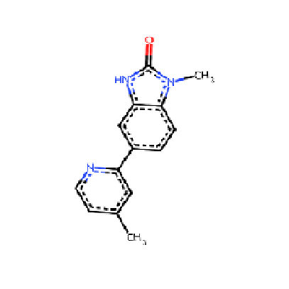 Cc1ccnc(-c2ccc3c(c2)[nH]c(=O)n3C)c1